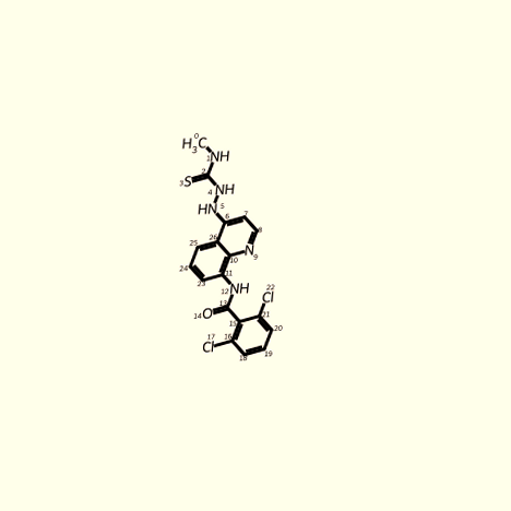 CNC(=S)NNc1ccnc2c(NC(=O)c3c(Cl)cccc3Cl)cccc12